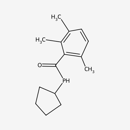 Cc1ccc(C)c(C(=O)PC2CCCC2)c1C